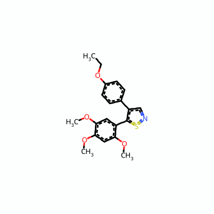 CCOc1ccc(-c2cnsc2-c2cc(OC)c(OC)cc2OC)cc1